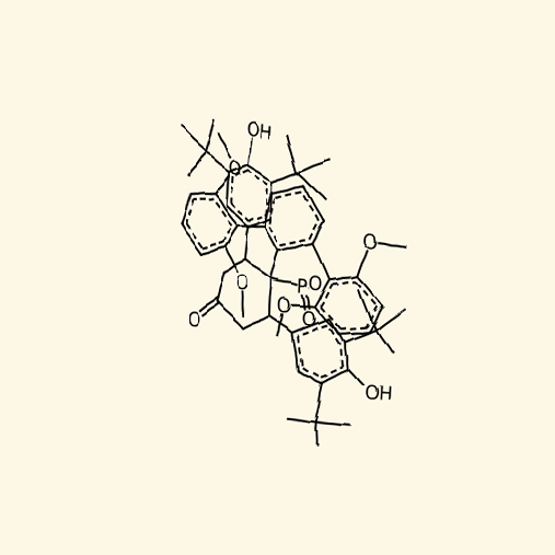 COc1cccc(OC)c1-c1cccc(-c2c(OC)cccc2OC)c1C1(P(=O)=O)C(c2cc(C(C)(C)C)c(O)c(C(C)(C)C)c2)CC(=O)CC1c1cc(C(C)(C)C)c(O)c(C(C)(C)C)c1